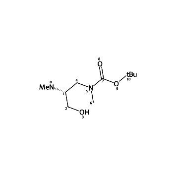 CN[C@@H](CO)CN(C)C(=O)OC(C)(C)C